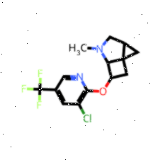 CN1CC2CC23CC(Oc2ncc(C(F)(F)F)cc2Cl)C13